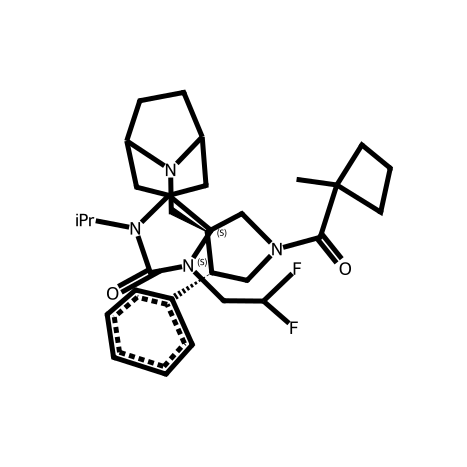 CC(C)N1C(=O)N(CC(F)F)CC12CC1CCC(C2)N1C[C@H]1CN(C(=O)C2(C)CCC2)C[C@@H]1c1ccccc1